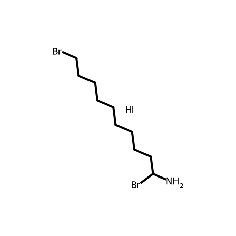 I.NC(Br)CCCCCCCCCBr